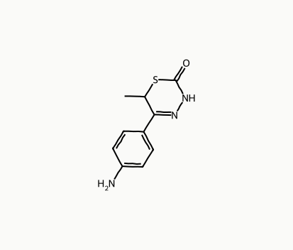 CC1SC(=O)NN=C1c1ccc(N)cc1